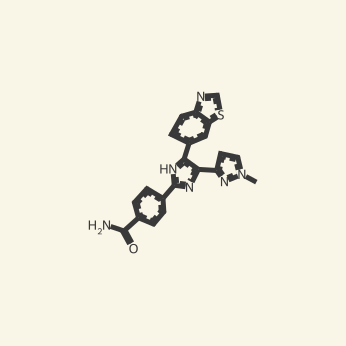 Cn1ccc(-c2nc(-c3ccc(C(N)=O)cc3)[nH]c2-c2ccc3ncsc3c2)n1